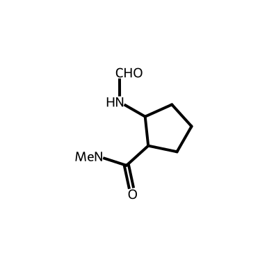 CNC(=O)C1CCCC1NC=O